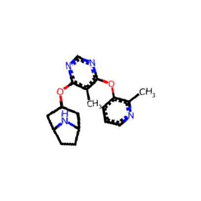 Cc1ncccc1Oc1ncnc(OC2CC3CCC(C2)N3)c1C